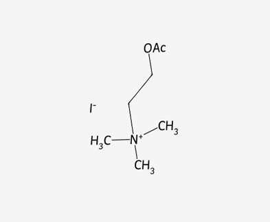 CC(=O)OCC[N+](C)(C)C.[I-]